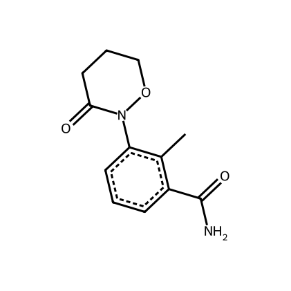 Cc1c(C(N)=O)cccc1N1OCCCC1=O